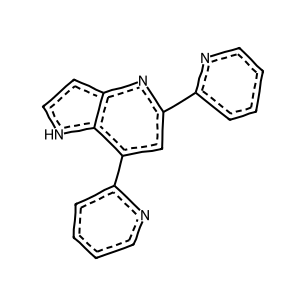 c1ccc(-c2cc(-c3ccccn3)c3[nH]ccc3n2)nc1